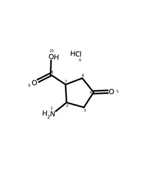 Cl.NC1CC(=O)CC1C(=O)O